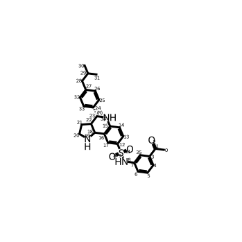 CC(=O)c1cccc(NS(=O)(=O)c2ccc3c(c2)C2NCCC2[C@H](c2ccc(CC(C)C)cc2)N3)c1